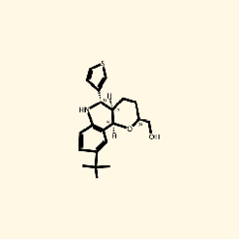 CC(C)(C)c1ccc2c(c1)[C@@H]1O[C@H](CO)CC[C@@H]1[C@@H](c1ccsc1)N2